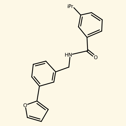 CC(C)c1cccc(C(=O)NCc2cccc(-c3ccco3)c2)c1